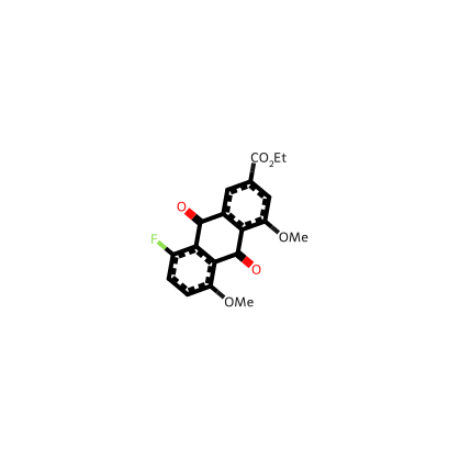 CCOC(=O)c1cc(OC)c2c(c1)C(=O)c1c(F)ccc(OC)c1C2=O